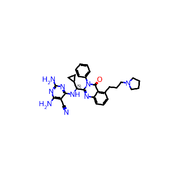 N#Cc1c(N)nc(N)nc1N[C@H](c1nc2cccc(CCCN3CCCC3)c2c(=O)n1-c1ccccc1)C1CC1